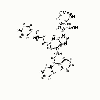 COC[C@H]1O[C@@H](n2cnc3c(NCC(c4ccccc4)c4ccccc4)nc(CCNCc4ccccc4)nc32)[C@H](O)[C@@H]1O